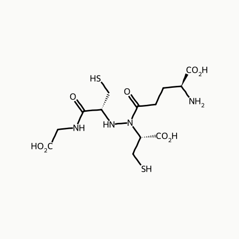 N[C@@H](CCC(=O)N(N[C@@H](CS)C(=O)NCC(=O)O)[C@@H](CS)C(=O)O)C(=O)O